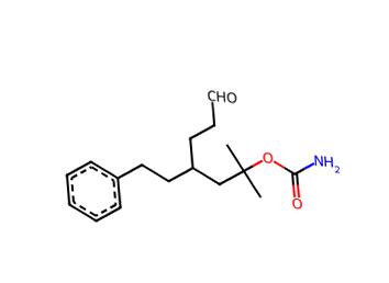 CC(C)(CC(CCC=O)CCc1ccccc1)OC(N)=O